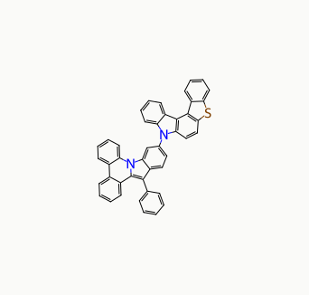 c1ccc(-c2c3ccc(-n4c5ccccc5c5c6c(ccc54)sc4ccccc46)cc3n3c4ccccc4c4ccccc4c23)cc1